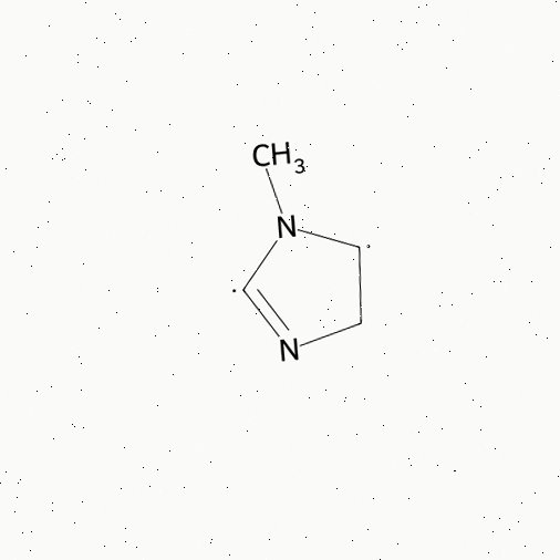 CN1[C]=NC[CH]1